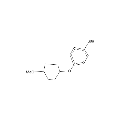 CCC(C)c1ccc(OC2CCC(OC)CC2)cc1